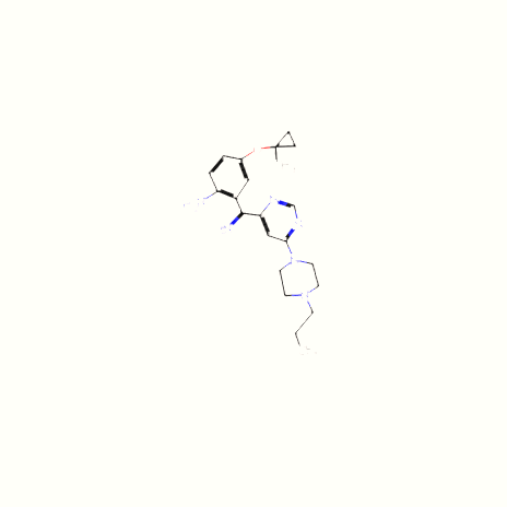 CC1(Oc2ccc(N)c(C(=N)c3cc(N4CCN(CCC(F)(F)F)CC4)ncn3)c2)CC1